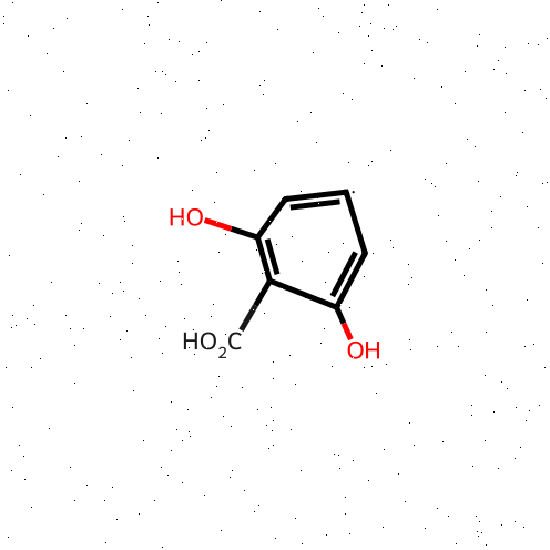 O=C(O)c1c(O)c[c]cc1O